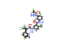 O=C(Nc1ccc(F)c(NC(=O)C(F)F)c1F)c1cc(NC(=O)C2C(c3ccc(F)c(I)c3)C2(Cl)Cl)ccc1Cl